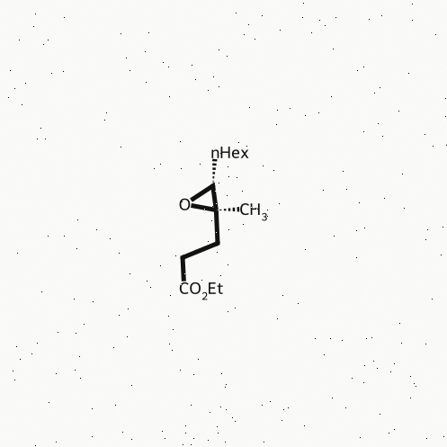 CCCCCC[C@H]1O[C@]1(C)CCC(=O)OCC